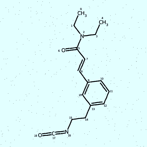 CCN(CC)C(=O)C=Cc1cccc(CCN=C=O)c1